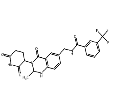 CC1Nc2ccc(CNC(=O)c3cccc(C(F)(F)F)c3)cc2C(=O)N1C1CCC(=O)NC1=O